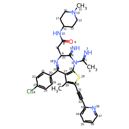 CC(=N)N1C(=N)[C@H](CC(=O)NC2CCN(C)CC2)N=C(c2ccc(Cl)cc2)c2c1sc(C#Cc1ccccn1)c2C